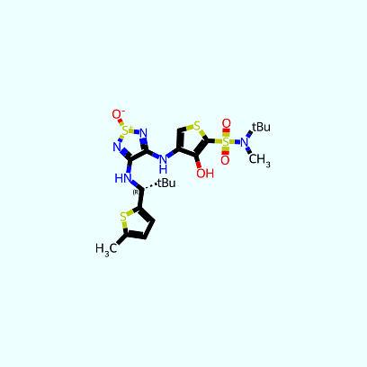 Cc1ccc([C@H](Nc2n[s+]([O-])nc2Nc2csc(S(=O)(=O)N(C)C(C)(C)C)c2O)C(C)(C)C)s1